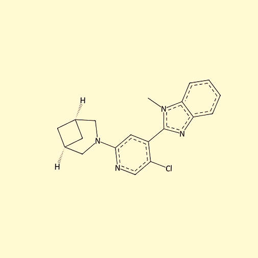 Cn1c(-c2cc(N3C[C@H]4C[C@@H](C3)C4)ncc2Cl)nc2ccccc21